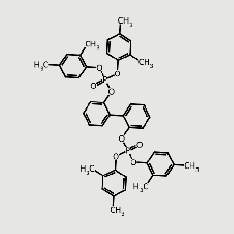 Cc1ccc(OP(=O)(Oc2ccc(C)cc2C)Oc2ccccc2-c2ccccc2OP(=O)(Oc2ccc(C)cc2C)Oc2ccc(C)cc2C)c(C)c1